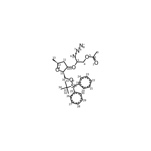 CC(=O)OCC(N=[N+]=[N-])OC1C[C@H](C)O[C@@H]1CO[Si](c1ccccc1)(c1ccccc1)C(C)(C)C